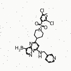 Bc1cnn2c(NCc3cccnc3)cc(C3CCN(S(=O)(=O)c4cc(Cl)sc4Cl)CC3)nc12